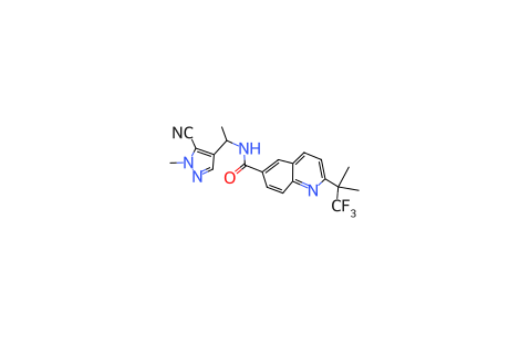 CC(NC(=O)c1ccc2nc(C(C)(C)C(F)(F)F)ccc2c1)c1cnn(C)c1C#N